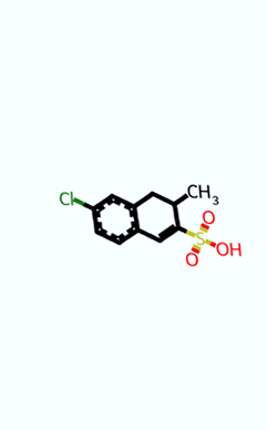 CC1Cc2cc(Cl)ccc2C=C1S(=O)(=O)O